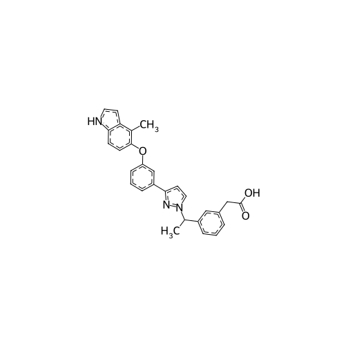 Cc1c(Oc2cccc(-c3ccn(C(C)c4cccc(CC(=O)O)c4)n3)c2)ccc2[nH]ccc12